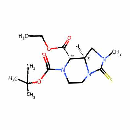 CCOC(=O)[C@@H]1[C@H]2CN(C)C(=S)N2CCN1C(=O)OC(C)(C)C